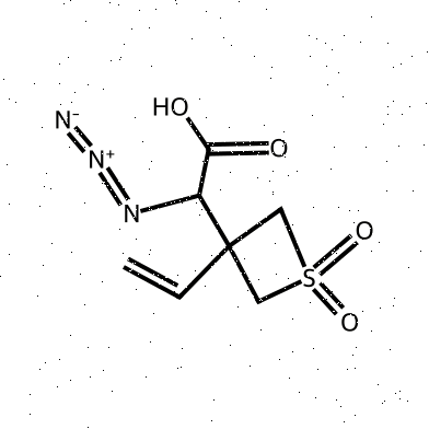 C=CC1(C(N=[N+]=[N-])C(=O)O)CS(=O)(=O)C1